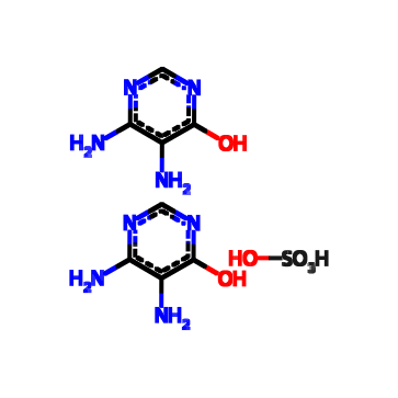 Nc1ncnc(O)c1N.Nc1ncnc(O)c1N.O=S(=O)(O)O